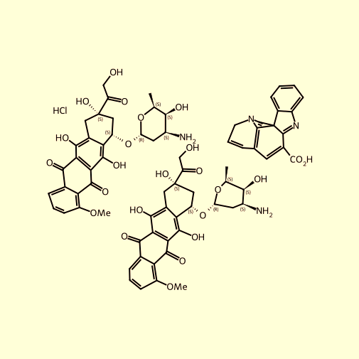 COc1cccc2c1C(=O)c1c(O)c3c(c(O)c1C2=O)C[C@@](O)(C(=O)CO)C[C@@H]3O[C@H]1C[C@H](N)[C@H](O)[C@H](C)O1.COc1cccc2c1C(=O)c1c(O)c3c(c(O)c1C2=O)C[C@@](O)(C(=O)CO)C[C@@H]3O[C@H]1C[C@H](N)[C@H](O)[C@H](C)O1.Cl.O=C(O)C1=CC2=C3N(C=CC34C1=Nc1ccccc14)CC=C2